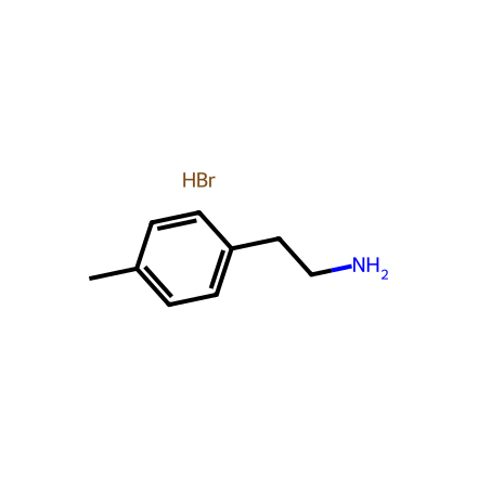 Br.Cc1ccc(CCN)cc1